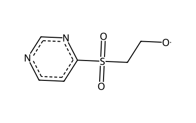 [O]CCS(=O)(=O)c1ccncn1